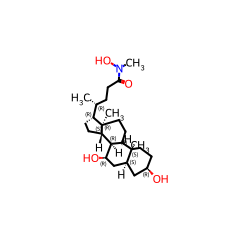 C[C@H](CCC(=O)N(C)O)[C@H]1CC[C@H]2[C@@H]3[C@H](O)C[C@@H]4C[C@H](O)CC[C@]4(C)[C@H]3CC[C@]12C